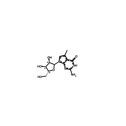 Cc1cn(C2O[C@H](CO)[C@@H](O)[C@H]2O)c2nc(N)[nH]c(=O)c12